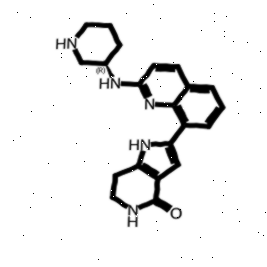 O=C1NCCc2[nH]c(-c3cccc4ccc(N[C@@H]5CCCNC5)nc34)cc21